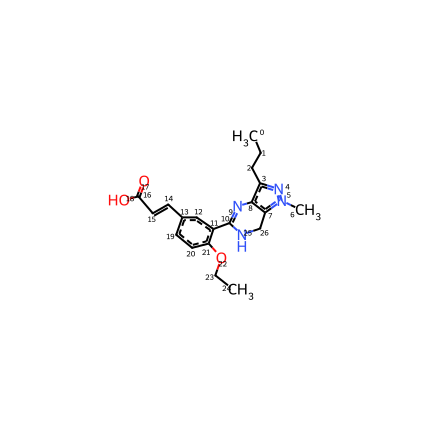 CCCc1nn(C)c2c1N=C(c1cc(/C=C/C(=O)O)ccc1OCC)NC2